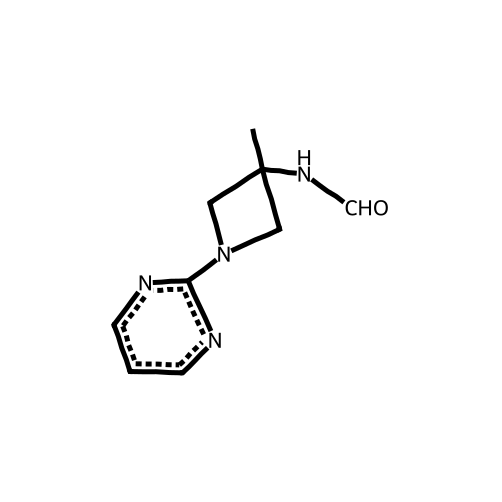 CC1(NC=O)CN(c2ncccn2)C1